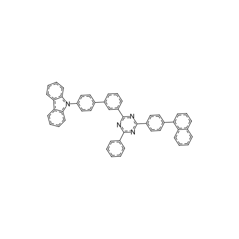 c1ccc(-c2nc(-c3ccc(-c4cccc5ccccc45)cc3)nc(-c3cccc(-c4ccc(-n5c6ccccc6c6ccccc65)cc4)c3)n2)cc1